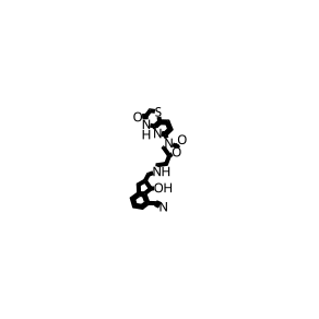 N#Cc1cccc2c1C(O)C(CNCCC1CN(c3ccc4c(n3)NC(=O)CS4)C(=O)O1)C2